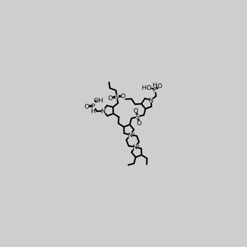 CCCC1CN(C[PH](=O)O)CC1CS(=O)(=O)CC1C[N+]2(CC[N+]3(CC2)CC(CC)C(CC)C3)CC1CCC1CN(C[PH](=O)O)CC1CS(=O)(=O)CCC